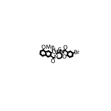 COc1cc2c(OC)cccc2cc1C(=O)N1CCC2(CC1)Oc1ccc(Br)cc1C(=O)N2C